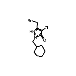 O=c1c(Cl)c(CBr)[nH]n1CC1CCCCC1